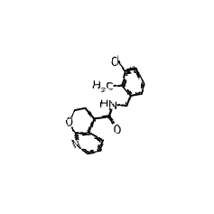 Cc1c(Cl)cccc1CNC(=O)C1CCOc2ncccc21